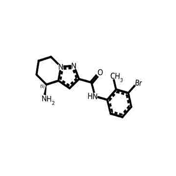 Cc1c(Br)cccc1NC(=O)c1cc2n(n1)CCC[C@@H]2N